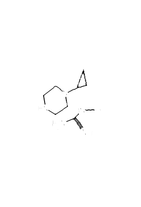 C1CN(C2CC2)CCN1.N=C(N)NO